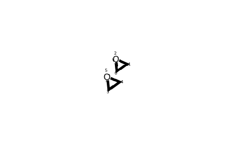 C1CO1.C1CO1